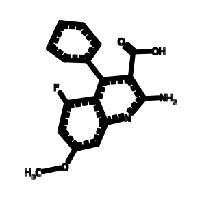 COc1cc(F)c2c(-c3ccccc3)c(C(=O)O)c(N)nc2c1